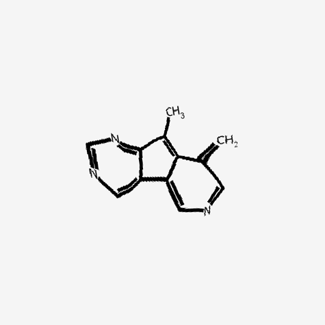 C=c1cncc2c1=C(C)c1ncncc1-2